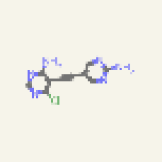 Nc1ncc(C#Cc2c(N)ncnc2Cl)cn1